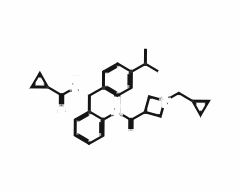 CC(C)c1ccc([C@@H](NC(=O)C2CC2)c2ccccc2NC(=O)C2CN(CC3CC3)C2)cc1